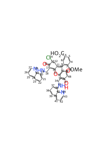 COC(=O)c1ccc(C(=O)O)cc1-c1c2cc(Cl)c(=O)c(CNc3cccc4cccnc34)c-2oc2c(CNc3cccc4cccnc34)c(O)ccc12